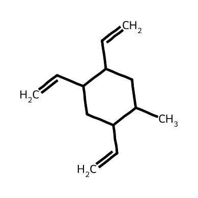 C=CC1CC(C=C)C(C=C)CC1C